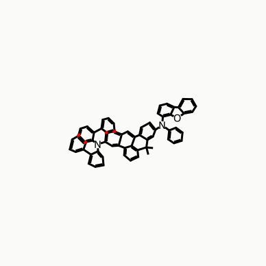 CC1(C)c2cc(N(c3ccccc3)c3cccc4c3oc3ccccc34)ccc2-c2cc3ccc(N(c4ccccc4-c4ccccc4)c4ccccc4-c4ccccc4)cc3c3cccc1c23